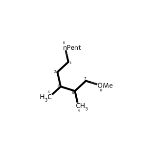 CCCCCCCC(C)C(C)COC